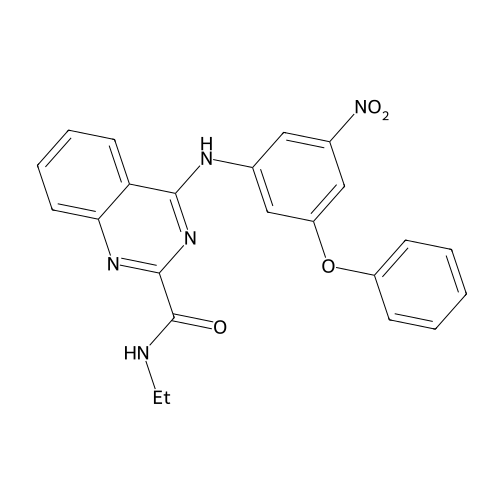 CCNC(=O)c1nc(Nc2cc(Oc3ccccc3)cc([N+](=O)[O-])c2)c2ccccc2n1